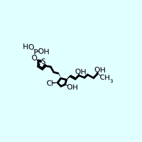 C[C@@H](O)CCC[C@H](O)/C=C/[C@@H]1[C@@H](CCCc2ccc(OP(O)O)s2)[C@H](Cl)C[C@H]1O